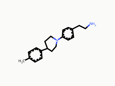 Cc1ccc(C2CCN(c3ccc(CCN)cc3)CC2)cc1